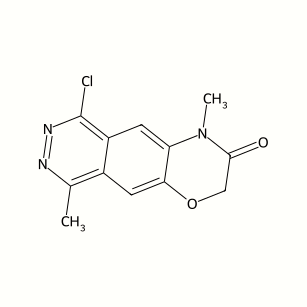 Cc1nnc(Cl)c2cc3c(cc12)OCC(=O)N3C